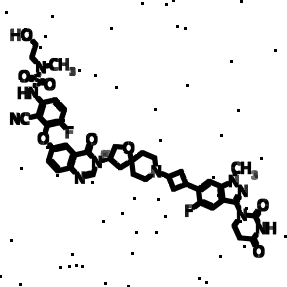 CN(CCO)S(=O)(=O)Nc1ccc(F)c(Oc2ccc3ncn([C@H]4COC5(CCN(C6CC(c7cc8c(cc7F)c(N7CCC(=O)NC7=O)nn8C)C6)CC5)C4)c(=O)c3c2)c1C#N